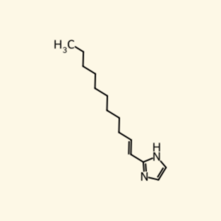 CCCCCCCCCC=Cc1ncc[nH]1